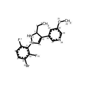 CCC1NN(c2c(F)ccc(Br)c2F)C=C1c1cncc(OC)c1